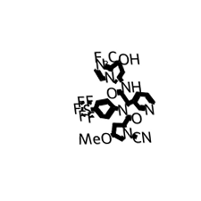 COC1CC(C(=O)N(c2ccc(S(F)(F)(F)(F)F)cc2)C(C(=O)NCCC(O)(c2nccn2C)C(F)(F)F)c2cccnc2)N(C#N)C1